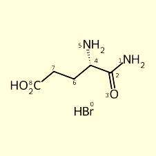 Br.NC(=O)[C@@H](N)CCC(=O)O